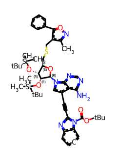 Cc1noc(-c2ccccc2)c1CSC[C@H]1O[C@@H](n2cc(C#Cc3nc4ccccc4n3C(=O)OC(C)(C)C)c3c(N)ncnc32)[C@H](O[Si](C)(C)C(C)(C)C)[C@@H]1O[Si](C)(C)C(C)(C)C